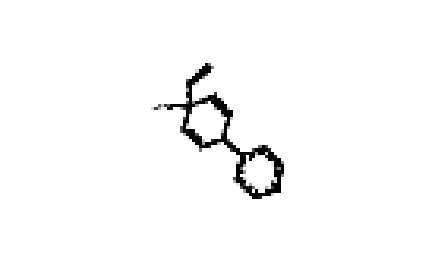 C=CC1(CCC)C=CC(c2ccccc2)C=C1